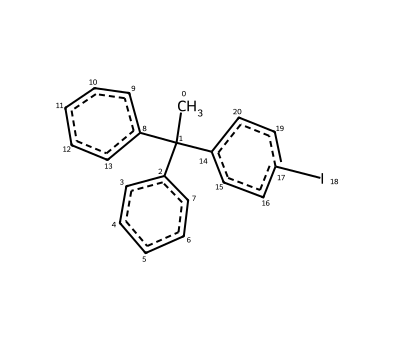 CC(c1ccccc1)(c1ccccc1)c1ccc(I)cc1